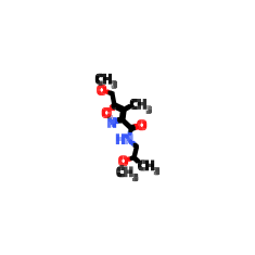 COCc1onc(C(=O)NCC(C)OC)c1C